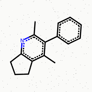 Cc1nc2c(c(C)c1-c1ccccc1)CCC2